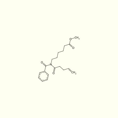 C=CCCC(=O)N(CCCCCC(=O)OC)C(=O)c1ccccc1